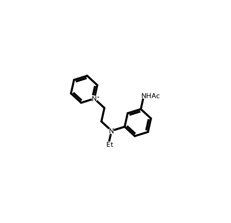 CCN(CC[n+]1ccccc1)c1cccc(NC(C)=O)c1